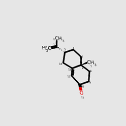 C=C(C)[C@@H]1CC[C@]2(C)CCC(=O)C=C2C1